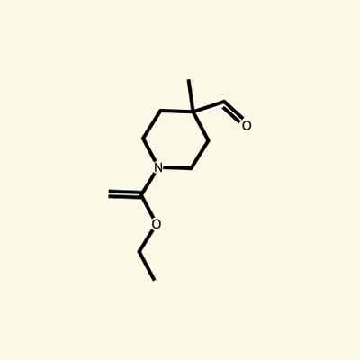 C=C(OCC)N1CCC(C)(C=O)CC1